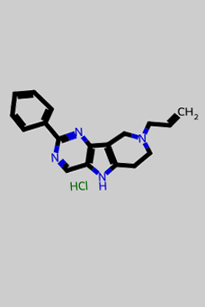 C=CCN1CCc2[nH]c3cnc(-c4ccccc4)nc3c2C1.Cl